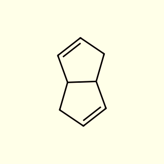 C1=CC2CC=CC2C1